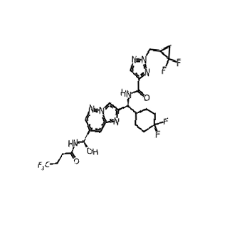 O=C(CCC(F)(F)F)N[C@H](O)c1cnn2cc([C@@H](NC(=O)c3cnn(CC4CC4(F)F)n3)C3CCC(F)(F)CC3)nc2c1